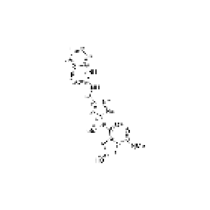 CNC(=O)[C@@H]1C[C@@H](O)CN1C(=O)[C@@H](n1cc(CNC(=O)Nc2ccccc2F)nn1)C(C)(C)C